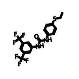 CCSc1ccc(NC(=O)Nc2cc(C(F)(F)F)cc(C(F)(F)F)c2)cc1